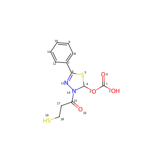 O=C(O)OC1SC(c2ccccc2)=NN1C(=O)CCS